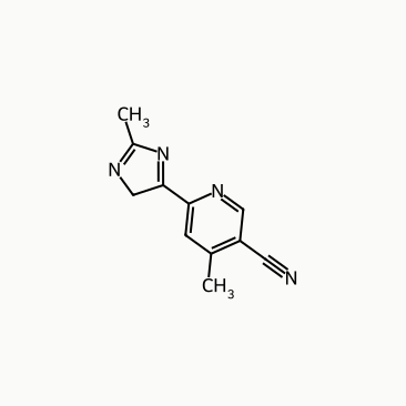 CC1=NCC(c2cc(C)c(C#N)cn2)=N1